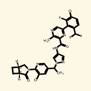 Cc1ncc(-c2c(C(F)F)ccc(Cl)c2F)nc1C(=O)Nc1cnn(C(C)c2cnc(N3C[C@H]4CC[C@H]4C3=O)c(Cl)c2)c1